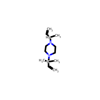 C=C[SiH](C)N1CCN([Si](C)(C)C=C)CC1